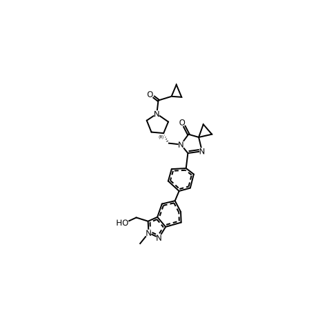 Cn1nc2ccc(-c3ccc(C4=NC5(CC5)C(=O)N4C[C@@H]4CCN(C(=O)C5CC5)C4)cc3)cc2c1CO